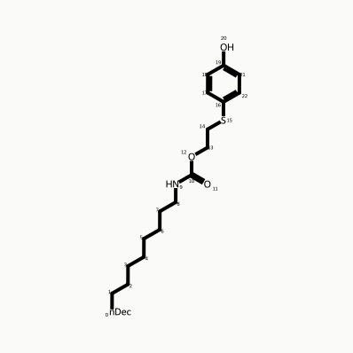 CCCCCCCCCCCCCCCCCCNC(=O)OCCSc1ccc(O)cc1